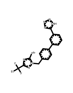 CCCc1nc(C(F)(F)CC)nn1Cc1ccc(-c2cccc(-c3nnn[nH]3)c2)cc1